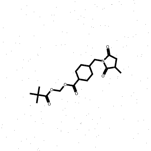 CC1CC(=O)N(CC2CCC(C(=O)OCOC(=O)C(C)(C)C)CC2)C1=O